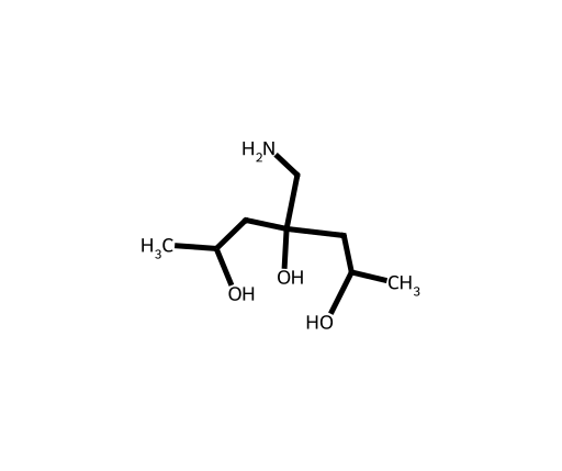 CC(O)CC(O)(CN)CC(C)O